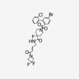 O=C(/C=C/CNC(=O)C1(F)CCN(S(=O)(=O)c2ccc(Br)cc2-c2ccccc2Cl)CC1)N1CC(F)(F)C1